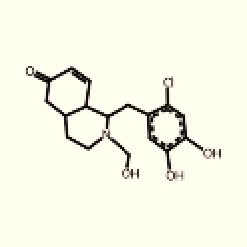 O=C1C=CC2C(CCN(CO)C2Cc2cc(O)c(O)cc2Cl)C1